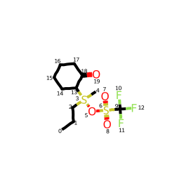 CCCS(C)(OS(=O)(=O)C(F)(F)F)C1CCCCC1=O